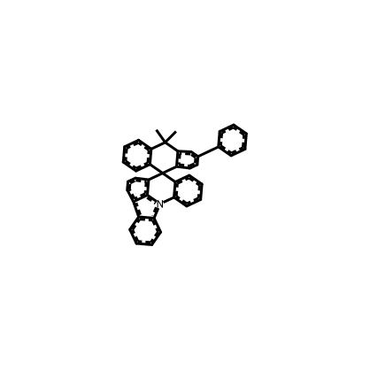 CC1(C)c2ccccc2C2(c3ccccc3-n3c4ccccc4c4cccc2c43)c2ccc(-c3ccccc3)cc21